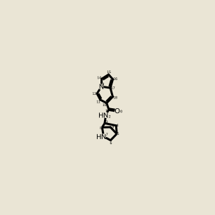 O=C(NC1CC2CNC1C2)c1ccn2cccc2c1